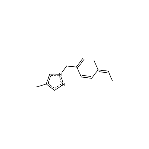 C=C(/C=C\C(C)=C/C)Cn1cc(C)cn1